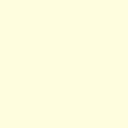 CCCC(CC)C(CC)CC1(C)CCCCC1CCC